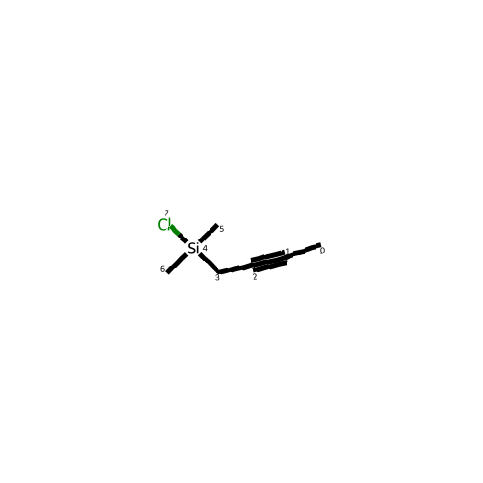 CC#CC[Si](C)(C)Cl